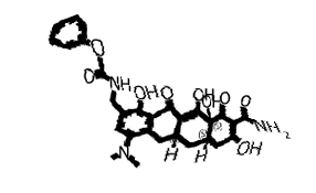 CN(C)c1cc(CNC(=O)Oc2ccccc2)c(O)c2c1C[C@H]1C[C@H]3CC(O)=C(C(N)=O)C(=O)[C@@]3(O)C(O)=C1C2=O